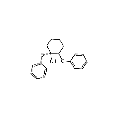 OC1(Oc2ccccc2)CCCCC1Oc1ccccc1